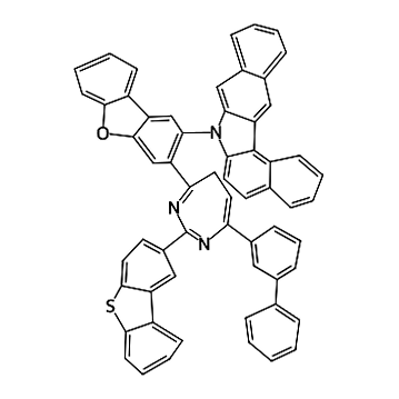 C1=C(c2cccc(-c3ccccc3)c2)N=C(c2ccc3sc4ccccc4c3c2)N=C(c2cc3oc4ccccc4c3cc2-n2c3cc4ccccc4cc3c3c4ccccc4ccc32)C1